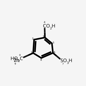 O=C(O)c1cc(C(=O)O)cc(S(=O)(=O)O)c1.[Zn]